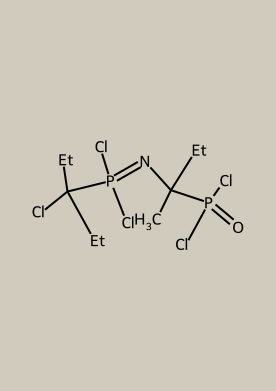 CCC(C)(N=P(Cl)(Cl)C(Cl)(CC)CC)P(=O)(Cl)Cl